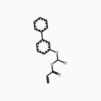 C=CC(=O)OC(CC)Oc1cccc(-c2ccccc2)c1